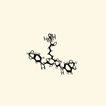 O=C(CCCCCC(=O)N(CC(=O)Nc1ccc2c(c1)OCO2)CC(=O)Nc1ccc2c(c1)OCO2)NO